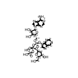 Nc1ncnc2c1ncn2[C@@H]1O[C@H](COP(=O)(On2cnc3cncnc32)OP(=O)(OC2C[C@H](O)[C@@H](CO)O2)OP(=O)(O)O)[C@@H](O)[C@H]1O